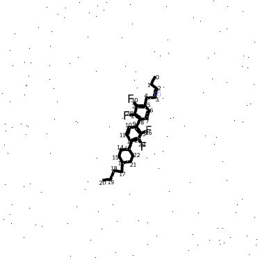 CC/C=C\Cc1ccc(-c2ccc(C3CCC(CCCC)CC3)c(F)c2F)c(F)c1F